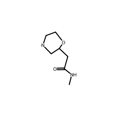 CNC(=O)CC1C[N]CCO1